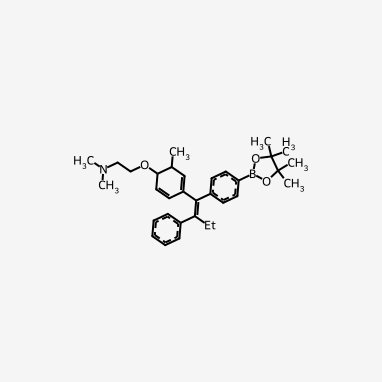 CC/C(=C(/C1=CC(C)C(OCCN(C)C)C=C1)c1ccc(B2OC(C)(C)C(C)(C)O2)cc1)c1ccccc1